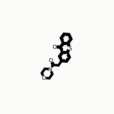 O=C(Cc1ccc2sc3ccccc3c(=O)c2c1)N1CCOCC1